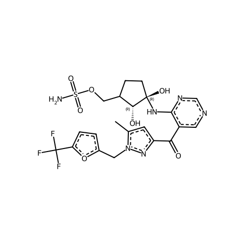 Cc1cc(C(=O)c2cncnc2N[C@@]2(O)CCC(COS(N)(=O)=O)[C@H]2O)nn1Cc1ccc(C(F)(F)F)o1